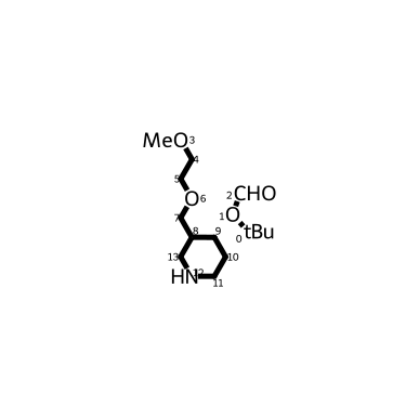 CC(C)(C)OC=O.COCCOCC1CCCNC1